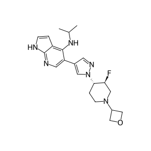 CC(C)Nc1c(-c2cnn([C@H]3CCN(C4COC4)C[C@@H]3F)c2)cnc2[nH]ccc12